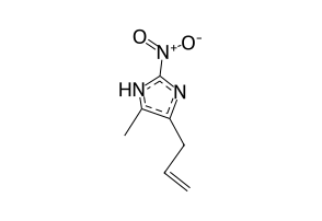 C=CCc1nc([N+](=O)[O-])[nH]c1C